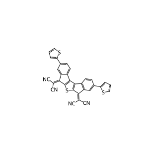 N#CC(C#N)=C1c2cc(-c3cccs3)ccc2-c2c1sc1c2-c2ccc(-c3cccs3)cc2C1=C(C#N)C#N